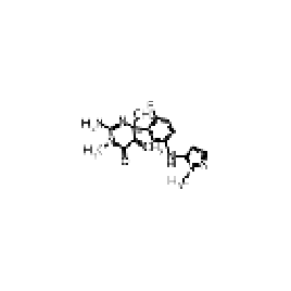 C=C1C(=O)N(C)C(N)=N[C@]1(C)c1cc(Nc2ccnn2C)ccc1F